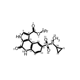 CCCOC(=O)c1c[nH]c2c(=O)[nH]c3ccc(S(=O)(=O)N(C)C4CC4)cc3c12